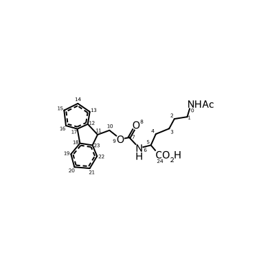 CC(=O)NCCCCC(NC(=O)OCC1c2ccccc2-c2ccccc21)C(=O)O